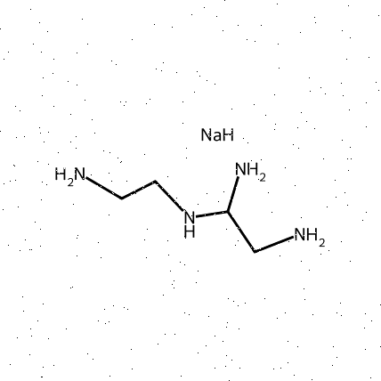 NCCNC(N)CN.[NaH]